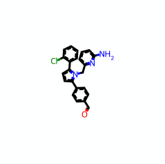 Nc1cccc(Cn2c(-c3ccc(C=O)cc3)ccc2-c2ccccc2Cl)n1